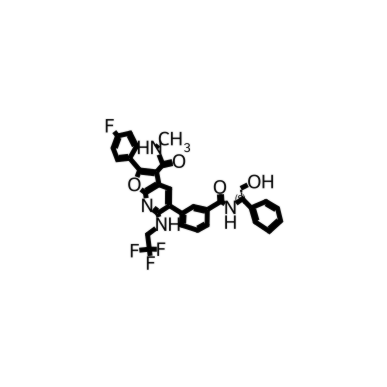 CNC(=O)c1c(-c2ccc(F)cc2)oc2nc(NCC(F)(F)F)c(-c3cccc(C(=O)N[C@H](CO)c4ccccc4)c3)cc12